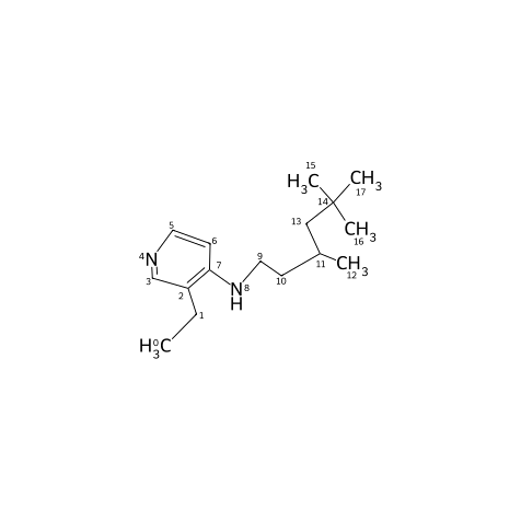 CCc1cnccc1NCCC(C)CC(C)(C)C